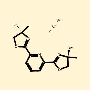 CC(C)[C@@]1(C)COC(c2cccc(C3=N[C@@](C)(C(C)C)CO3)n2)=N1.[Cl-].[Cl-].[V+2]